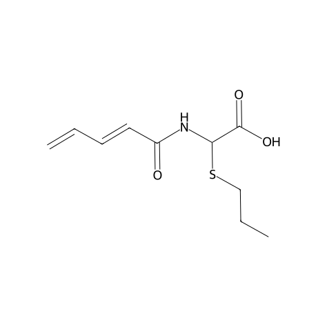 C=CC=CC(=O)NC(SCCC)C(=O)O